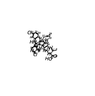 Cc1cn2c3c(nc2cc1C(=O)O)[C@@H]1[C@H](C3)N(CC2CC2)[C@]2(Cc3ccc(Cl)cc3NC2=O)[C@H]1c1ccnc(Cl)c1F